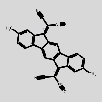 [C-]#[N+]/C(C#N)=C1/c2cc(C)ccc2-c2cc3c(cc21)-c1ccc(C)cc1/C3=C(/C#N)[N+]#[C-]